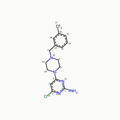 Nc1nc(Cl)cc(N2CCN(Cc3cccc(C(F)(F)F)c3)CC2)n1